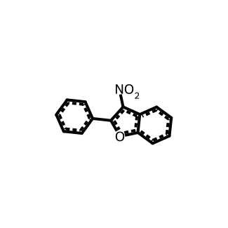 O=[N+]([O-])c1c(-c2ccccc2)oc2ccccc12